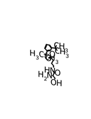 CC(C)c1cccc(C(C)C)c1OC(=O)CCCNC(=O)[C@@H](N)CO